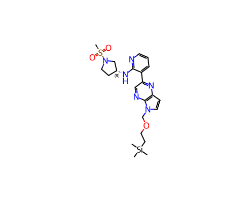 C[Si](C)(C)CCOCn1ccc2nc(-c3cccnc3N[C@@H]3CCN(S(C)(=O)=O)C3)cnc21